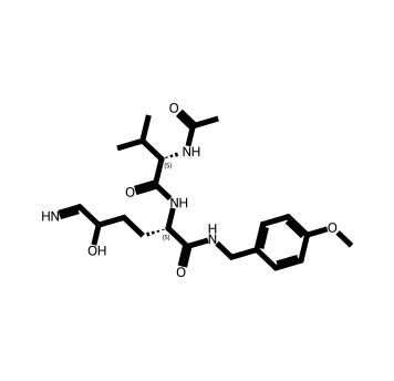 COc1ccc(CNC(=O)[C@H](CCC(O)C=N)NC(=O)[C@@H](NC(C)=O)C(C)C)cc1